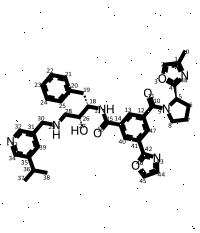 Cc1coc([C@H]2CCCN2C(=O)c2cc(C(=O)N[C@@H](Cc3ccccc3)[C@H](O)CNCc3cncc(C(C)C)c3)cc(-c3ncco3)c2)n1